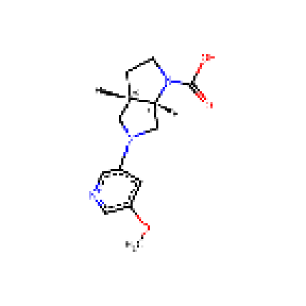 COc1cncc(N2C[C@@H]3CCN(C(=O)O)[C@@H]3C2)c1